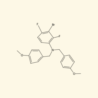 COc1ccc(CN(Cc2ccc(OC)cc2)c2ccc(F)c(Br)c2F)cc1